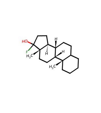 C[C@]12CCCCC1CC[C@@H]1[C@H]2CC[C@@]2(C)[C@H]1CCC2(O)F